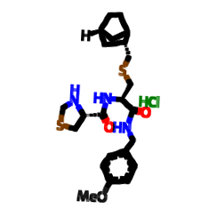 COc1ccc(CNC(=O)[C@H](CSC[C@@H]2C[C@@H]3CCC2C3)NC(=O)[C@@H]2CSCN2)cc1.Cl